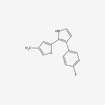 Cc1csc(-c2[nH]ccc2-c2ccc(F)cc2)c1